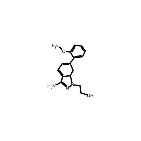 NC1=NN(CCO)C2CC(c3ccccc3OC(F)(F)F)=CC=C12